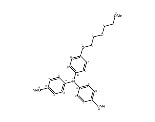 COCCOCCOc1ccc(N(c2ccc(OC)cc2)c2ccc(OC)cc2)cc1